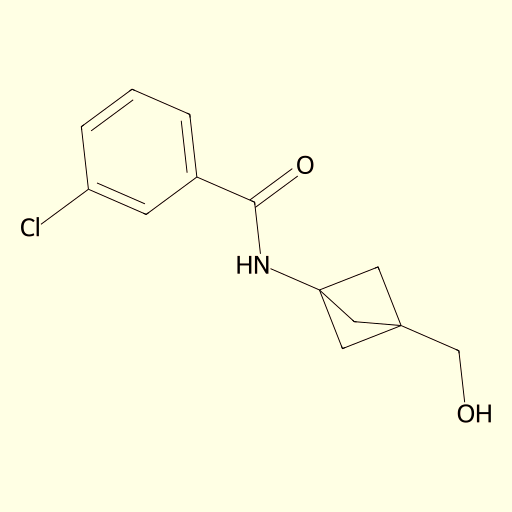 O=C(NC12CC(CO)(C1)C2)c1cccc(Cl)c1